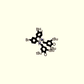 Bc1ccc(/N=N/C=C2C=C(C(C)(C)C)C(=O)C(C(C)(C)C)=C2)c(-c2cc(Br)ccc2/N=N/C=C2C=C(C(C)(C)C)C(=O)C(C(C)(C)C)=C2)c1